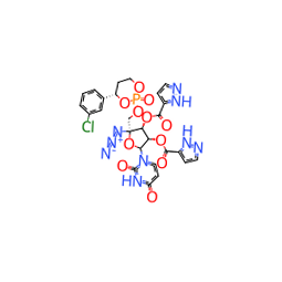 [N-]=[N+]=N[C@]1(COP2(=O)OCC[C@@H](c3cccc(Cl)c3)O2)OC(n2ccc(=O)[nH]c2=O)[C@H](OC(=O)c2ccn[nH]2)[C@@H]1OC(=O)c1ccn[nH]1